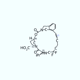 CC(C)[C@@H]1NCC(F)(F)CCC/C=C\c2cccc3c2CN(C3)C(=O)O[C@@H]2C[C@@H](C(=O)O)N(C2)C1=O